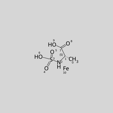 C[C@H](NS(=O)(=O)O)C(=O)O.[Fe]